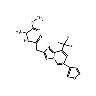 COC(=O)C(C)NC(=O)Cc1cn2cc(-c3ccoc3)cc(C(F)(F)F)c2n1